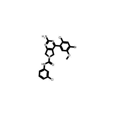 COc1cc(-c2nc(N)nc3c2CN(C(=O)Nc2cccc(Cl)c2)C3)c(Cl)cc1Br